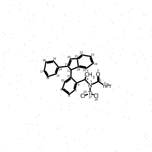 CCCC(=O)[N](C(C)c1ccccc1C1C(c2ccccc2)=Cc2ccccc21)[Ti]([Cl])[Cl]